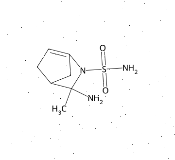 CC1(N)C2CC=C(C2)N1S(N)(=O)=O